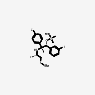 CC[C@@H](CSC(C)(C)C)N[C@](C)(c1ccc(Cl)cc1)[C@H](O[Si](C)(C)C(C)(C)C)c1cccc(Cl)c1